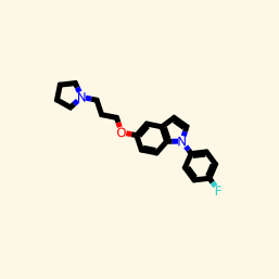 Fc1ccc(-n2ccc3cc(OCCCN4CCCC4)ccc32)cc1